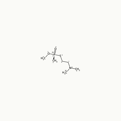 CO[P@](C)(=O)SCCN(C)C